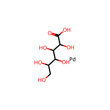 O=C(O)C(O)C(O)C(O)C(O)CO.[Pd]